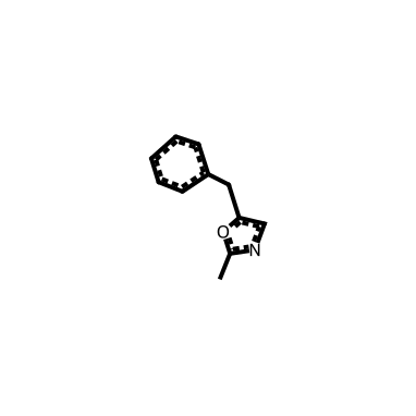 Cc1ncc(Cc2ccccc2)o1